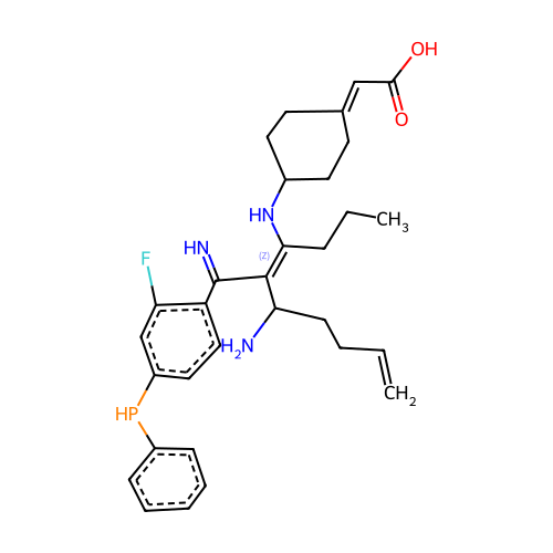 C=CCCC(N)/C(C(=N)c1ccc(Pc2ccccc2)cc1F)=C(\CCC)NC1CCC(=CC(=O)O)CC1